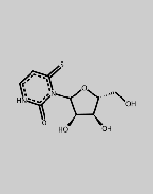 O=c1[nH]ccc(=S)n1C1O[C@H](CO)[C@@H](O)[C@H]1O